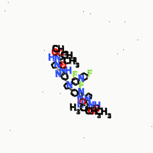 COC(=O)NC(C(=O)N1CCC[C@H]1c1nc2cc([C@H]3CC[C@H](c4ccc5[nH]c([C@@H]6CCCN6C(=O)C(NC(=O)OC)C(C)C)nc5c4)N3c3cc(F)c(N4CCC(F)CC4)c(F)c3)ccc2[nH]1)C(C)C